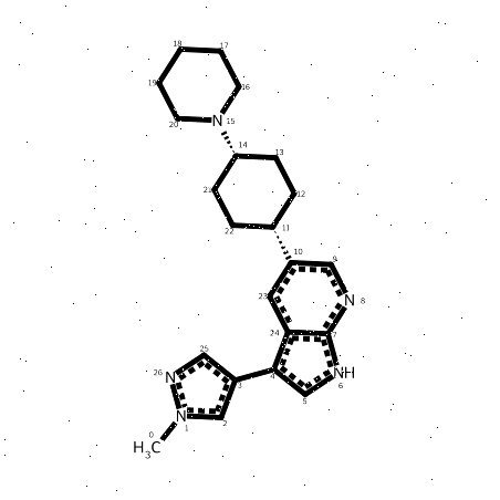 Cn1cc(-c2c[nH]c3ncc([C@H]4CC[C@@H](N5CCCCC5)CC4)cc23)cn1